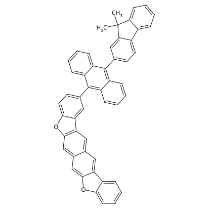 CC1(C)c2ccccc2-c2ccc(-c3c4ccccc4c(-c4ccc5oc6cc7cc8oc9ccccc9c8cc7cc6c5c4)c4ccccc34)cc21